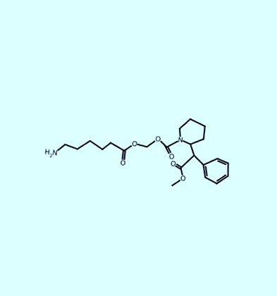 COC(=O)C(c1ccccc1)C1CCCCN1C(=O)OCOC(=O)CCCCCN